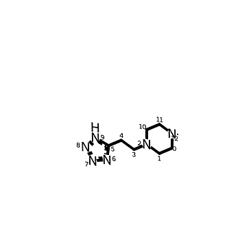 C1CN(CCc2nnn[nH]2)CC[N]1